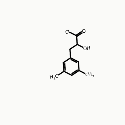 Cc1cc(C)cc(CC(O)C(=O)Cl)c1